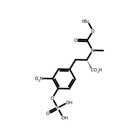 CN(C(=O)OC(C)(C)C)[C@@H](Cc1ccc(OP(=O)(O)O)c([N+](=O)[O-])c1)C(=O)O